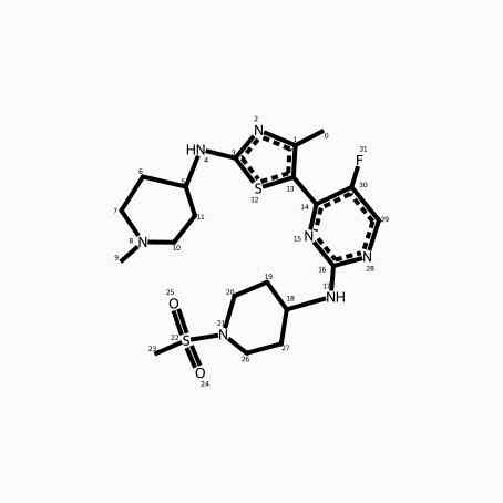 Cc1nc(NC2CCN(C)CC2)sc1-c1nc(NC2CCN(S(C)(=O)=O)CC2)ncc1F